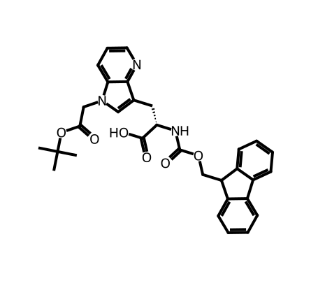 CC(C)(C)OC(=O)Cn1cc(C[C@H](NC(=O)OCC2c3ccccc3-c3ccccc32)C(=O)O)c2ncccc21